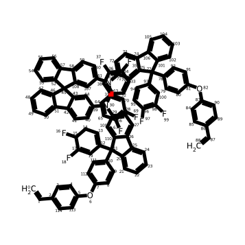 C=Cc1ccc(Oc2ccc(C3(C4=CCC(F)C(F)=C4)c4ccccc4-c4ccc(N(c5ccc(F)c(F)c5)c5ccc6c(c5)C5(c7ccccc7-6)c6ccccc6-c6ccc(N(c7ccc(F)c(F)c7)c7ccc8c(c7)C(c7ccc(Oc9ccc(C=C)cc9)cc7)(c7ccc(F)c(F)c7)c7ccccc7-8)cc65)cc43)cc2)cc1